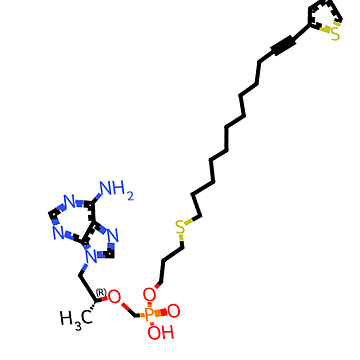 C[C@H](Cn1cnc2c(N)ncnc21)OCP(=O)(O)OCCCSCCCCCCCCCCC#Cc1cccs1